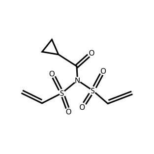 C=CS(=O)(=O)N(C(=O)C1CC1)S(=O)(=O)C=C